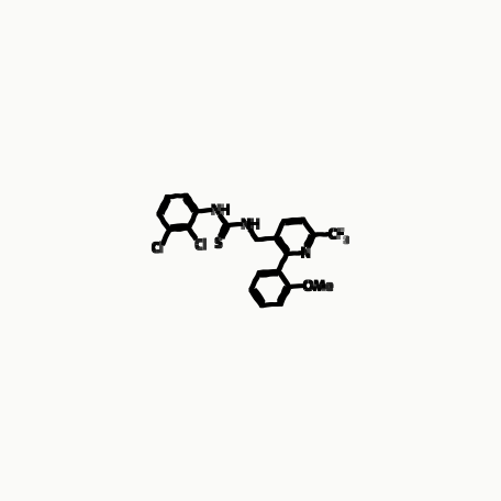 COc1ccccc1-c1nc(C(F)(F)F)ccc1CNC(=S)Nc1cccc(Cl)c1Cl